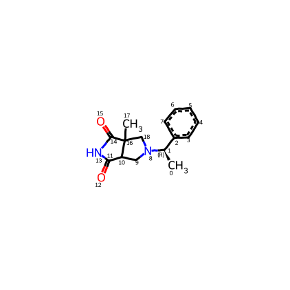 C[C@H](c1ccccc1)N1CC2C(=O)NC(=O)C2(C)C1